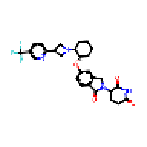 O=C1CCC(N2Cc3cc(O[C@H]4CCCCC4N4CC(c5ccc(C(F)(F)F)cn5)C4)ccc3C2=O)C(=O)N1